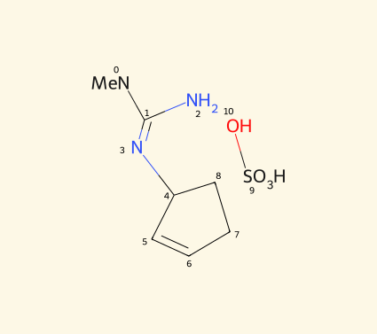 CNC(N)=NC1C=CCC1.O=S(=O)(O)O